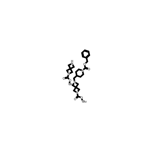 CC(C)(C)OC(=O)N1CC2(CN(CC3CCN(C(=O)OCc4ccccc4)CC3)C2)C1.CC(C)(C)OC(=O)N1CC2(CNC2)C1